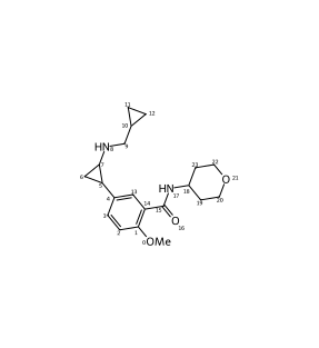 COc1ccc(C2CC2NCC2CC2)cc1C(=O)NC1CCOCC1